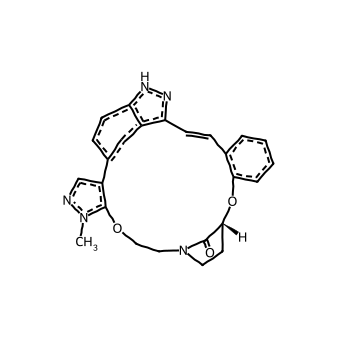 Cn1ncc2c1OCCN1CC[C@@H](Oc3ccccc3/C=C/c3n[nH]c4ccc-2cc34)C1=O